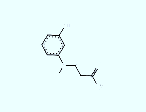 CCN(CCC(=O)OC)c1cccc(NC(C)=O)c1